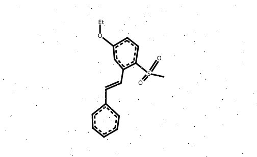 CCOc1ccc(S(C)(=O)=O)c(/C=C/c2ccccc2)c1